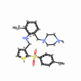 COc1ccc(S(=O)(=O)c2sccc2CNc2c(CN3CCN(C)CC3)cccc2C(=O)O)cc1